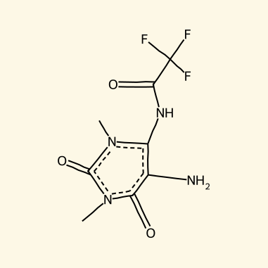 Cn1c(NC(=O)C(F)(F)F)c(N)c(=O)n(C)c1=O